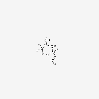 CC=CC1(C)CCC(C)(C)C(O)O1